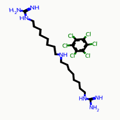 Clc1c(Cl)c(Cl)c(Cl)c(Cl)c1Cl.N=C(N)NCCCCCCCCNCCCCCCCCNC(=N)N